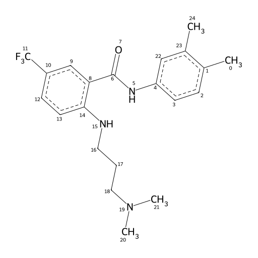 Cc1ccc(NC(=O)c2cc(C(F)(F)F)ccc2NCCCN(C)C)cc1C